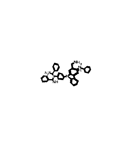 N=C(c1ccccc1)N(c1ccc(-n2c3ccccc3c3cc(Nc4ccccc4)c(CN)cc32)cc1)C(N)c1ccccc1